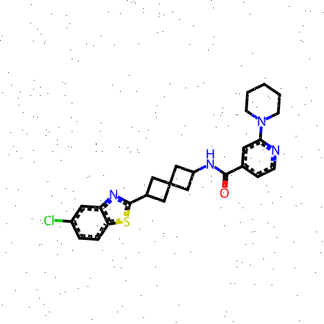 O=C(NC1CC2(C1)CC(c1nc3cc(Cl)ccc3s1)C2)c1ccnc(N2CCCCC2)c1